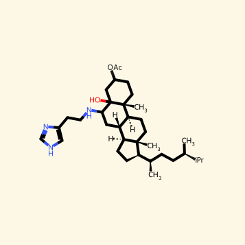 CC(=O)OC1CC[C@]2(C)[C@H]3CC[C@]4(C)[C@@H]([C@H](C)CC[C@@H](C)C(C)C)CC[C@H]4[C@@H]3CC(NCCc3c[nH]cn3)C2(O)C1